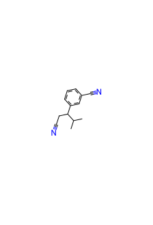 CC(C)C(CC#N)c1cccc(C#N)c1